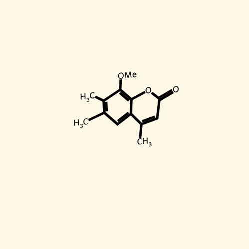 COc1c(C)c(C)cc2c(C)cc(=O)oc12